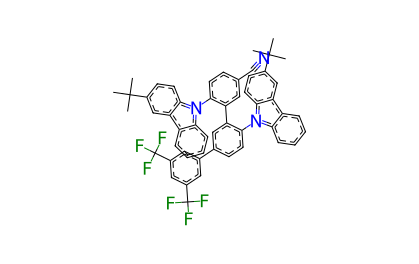 CC(C)(C)c1ccc2c(c1)c1ccccc1n2-c1ccc(C#N)cc1-c1cc(-c2cc(C(F)(F)F)cc(C(F)(F)F)c2)ccc1-n1c2ccccc2c2cc(C(C)(C)C)ccc21